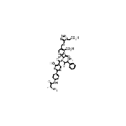 C[C@@H](N)C(=O)Nc1ccc(-c2ncc(C(=O)N(C(=O)C(N)c3ccccc3)C3C(=O)N4C(C(=O)O)=C(CSc5nnnn5CC(=O)O)CS[C@@H]34)c(O)n2)cc1